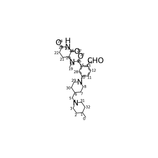 CC1CCN(CC2CCN(c3ccc(C=O)c(C(=O)N(C)C4CCC(=O)NC4=O)c3)CC2)CC1